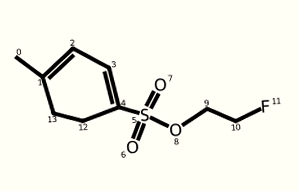 CC1=CC=C(S(=O)(=O)OCCF)CC1